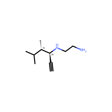 C#C[C@H](NCCN)[C@@H](C)C(C)C